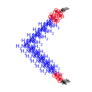 Nc1nc(N)nc(N)n1.Nc1nc(N)nc(N)n1.Nc1nc(N)nc(N)n1.Nc1nc(N)nc(N)n1.Nc1nc(N)nc(N)n1.Nc1nc(N)nc(N)n1.Nc1nc(N)nc(N)n1.Nc1nc(N)nc(N)n1.Nc1nc(N)nc(N)n1.Nc1nc(N)nc(N)n1.O=P([O-])([O-])OP(=O)([O-])OP(=O)([O-])[O-].O=P([O-])([O-])OP(=O)([O-])OP(=O)([O-])[O-].O=P([O-])([O-])OP(=O)([O-])OP(=O)([O-])[O-].[Al+3].[Al+3].[Al+3].[Al+3].[Al+3]